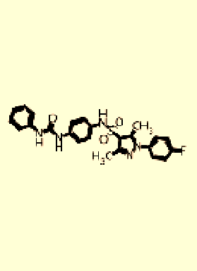 CC1=NN(c2ccc(F)cc2)C(C)C1S(=O)(=O)Nc1ccc(NC(=O)Nc2ccccc2)cc1